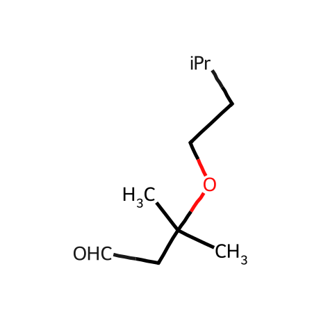 CC(C)CCOC(C)(C)CC=O